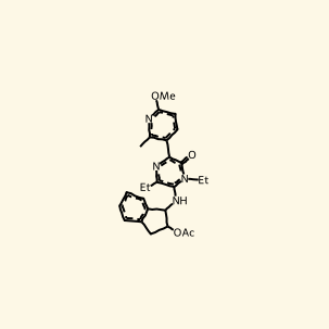 CCc1nc(-c2ccc(OC)nc2C)c(=O)n(CC)c1NC1c2ccccc2CC1OC(C)=O